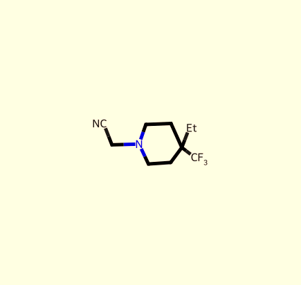 CCC1(C(F)(F)F)CCN(CC#N)CC1